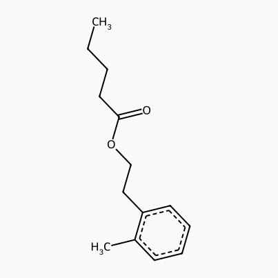 CCCCC(=O)OCCc1ccccc1C